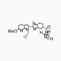 COc1ccc2cc(-c3nc4cc(C(=O)N5C[C@@H]6[C@@H]7[C@H]5N76)ccc4n3C)n(CC3CC3)c2n1